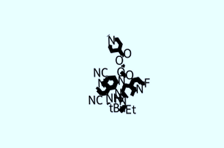 C=C(CC)n1cc([C@H](c2ccc(F)nc2C)N(C(=O)OCOC(=O)C2CCN(C)CC2)c2cc(C#N)c3ncc(C#N)c(NCC(C)(C)C)c3c2)nn1